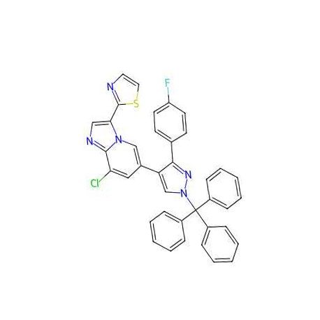 Fc1ccc(-c2nn(C(c3ccccc3)(c3ccccc3)c3ccccc3)cc2-c2cc(Cl)c3ncc(-c4nccs4)n3c2)cc1